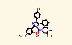 COc1ccc(C2=N[C@@H](c3ccc(Cl)cc3)[C@@H](c3ccc(Cl)cc3)N2C(=O)N2CCN(C)C(O)C2)c(OC(C)C)c1